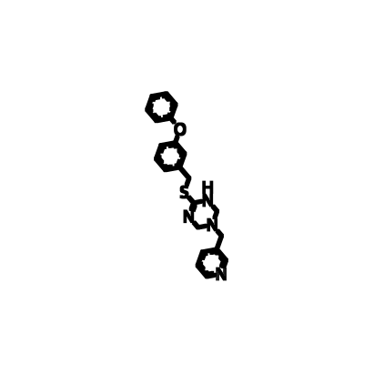 c1ccc(Oc2cccc(CSC3=NCN(Cc4cccnc4)CN3)c2)cc1